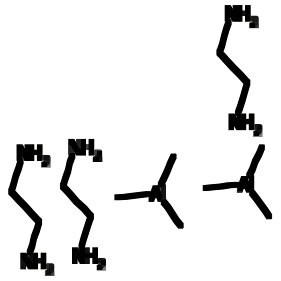 NCCN.NCCN.NCCN.[CH3][Al]([CH3])[CH3].[CH3][Al]([CH3])[CH3]